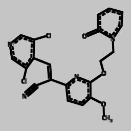 COc1ccc(C(C#N)=Cc2c(Cl)cncc2Cl)nc1OCCn1ccccc1=O